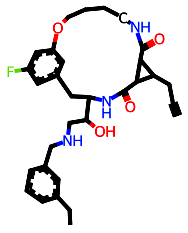 C#CCC1C2C(=O)NCCCCOc3cc(F)cc(c3)CC(C(O)CNCc3cccc(CC)c3)NC(=O)C12